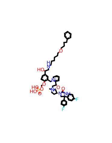 C[N+]1(CC(=O)c2cccc[n+]2Cc2cc(C(O)CNCCCCCCOCCCCc3ccccc3)ccc2OCOP(=O)(O)O)CC[C@@H](N2CC(c3ccc(F)cc3)(c3ccc(F)cc3)NC2=O)C1